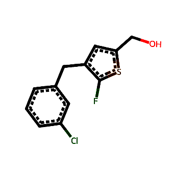 OCc1cc(Cc2cccc(Cl)c2)c(F)s1